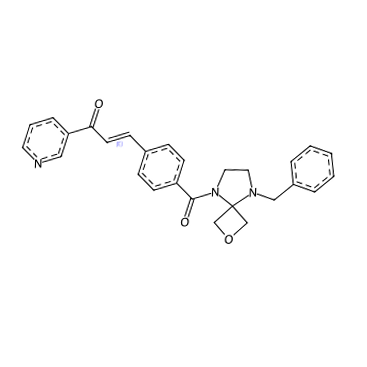 O=C(/C=C/c1ccc(C(=O)N2CCN(Cc3ccccc3)C23COC3)cc1)c1cccnc1